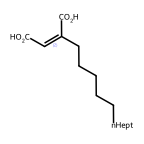 CCCCCCCCCCCC/C(=C/C(=O)O)C(=O)O